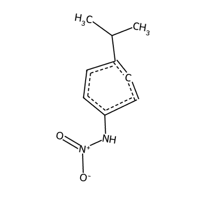 CC(C)c1ccc(N[N+](=O)[O-])cc1